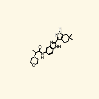 C[C@@H](C(=O)Nc1ccc2[nH]c(-c3n[nH]c4c3CCC(C)(C)C4)nc2c1)N1CCOCC1